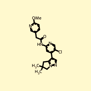 COc1ccc(CC(=O)Nc2cc(-c3cnn4c3CC(C)(C)C4)c(Cl)cn2)cn1